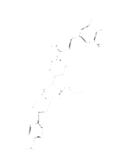 CCOC(=O)C(CN1CCC(c2ccc(OC)cc2)CC1)C1CCN(C(=O)/C=C/c2cc(F)c(F)c(F)c2)CC1